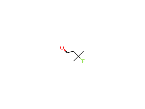 CC(C)(F)CC=O